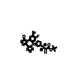 CC(C)(C)OC(=O)NS(=O)(=O)N1CC[C@H](Sc2nonc2-c2noc(=O)n2-c2ccc(F)c(Br)c2)C1